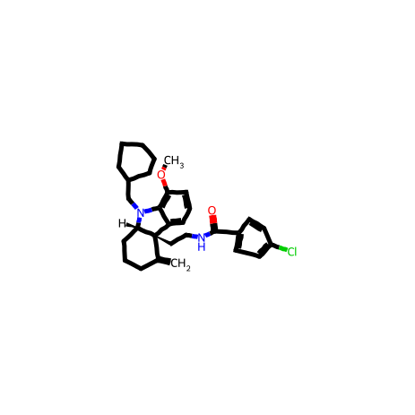 C=C1CCC[C@@H]2N(CC3CCCCC3)c3c(OC)cccc3[C@]12CCNC(=O)c1ccc(Cl)cc1